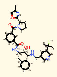 Cc1coc([C@H]2CCCN2C(=O)c2cccc(C(=O)N[C@@H](Cc3ccccc3)[C@H](O)CNCc3cncc(C(C)(C)F)c3)c2)n1